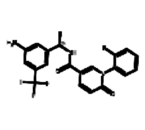 C[C@@H](NC(=O)c1ccc(=O)n(-c2ccccc2F)c1)c1cc(N)cc(C(F)(F)F)c1